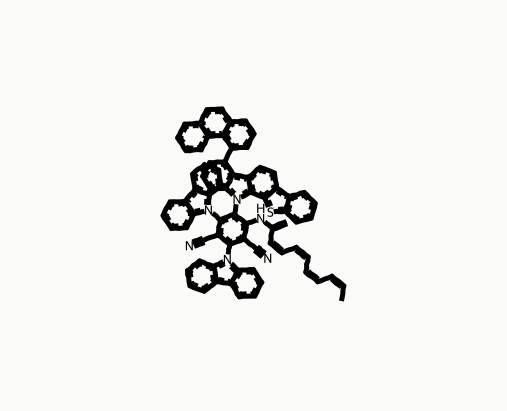 C=C(\C=C/C=C\C=C/C=C\C)Nc1c(C#N)c(-n2c3ccccc3c3ccccc32)c(C#N)c(-n2c3ccccc3c3ccccc32)c1-n1c2cccc(-c3cccc4ccc5ccccc5c34)c2c2ccc3c4ccccc4sc3c21